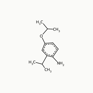 CC(C)Oc1ccc(N)c(C(C)C)c1